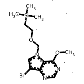 COc1ncnc2c(Br)cn(COCC[Si](C)(C)C)c12